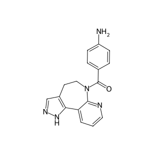 Nc1ccc(C(=O)N2CCc3cn[nH]c3-c3cccnc32)cc1